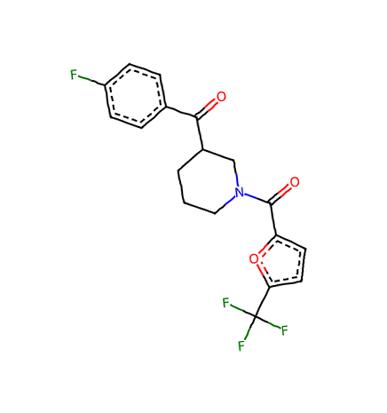 O=C(c1ccc(F)cc1)C1CCCN(C(=O)c2ccc(C(F)(F)F)o2)C1